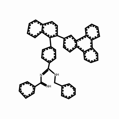 N=C(/N=C(\NCc1ccccc1)c1ccc(-c2c(-c3ccc4c5ccccc5c5ccccc5c4c3)ccc3ccccc23)cc1)c1ccccc1